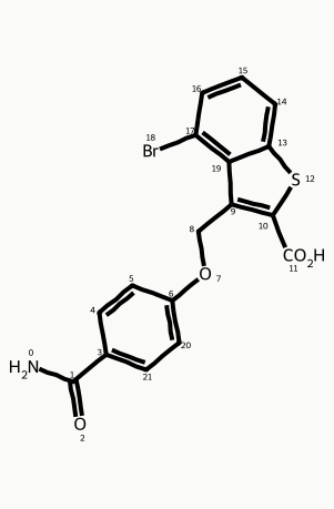 NC(=O)c1ccc(OCc2c(C(=O)O)sc3cccc(Br)c23)cc1